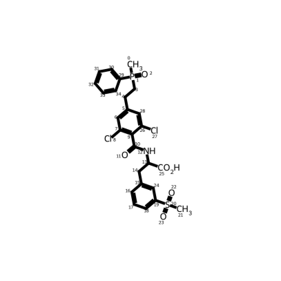 CP(=O)(CCc1cc(Cl)c(C(=O)NC(Cc2cccc(S(C)(=O)=O)c2)C(=O)O)c(Cl)c1)c1ccccc1